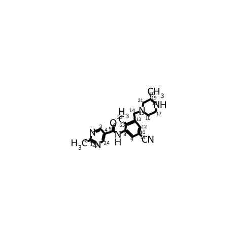 Cc1ncc(C(=O)Nc2cc(C#N)cc(CN3CCN[C@@H](C)C3)c2C)cn1